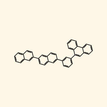 c1cc(-c2ccc3cc(-c4ccc5ccccc5c4)ccc3c2)cc(-c2cc3ccccc3c3ccccc23)c1